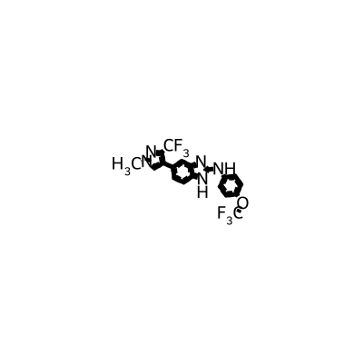 Cn1cc(-c2ccc3[nH]c(Nc4ccc(OC(F)(F)F)cc4)nc3c2)c(C(F)(F)F)n1